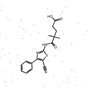 CC(C)(CCC(=O)O)C(=O)Nc1nc(-c2ccccc2)c(C#N)s1